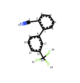 N#Cc1ccccc1-c1cc[c]c(C(F)(F)F)c1